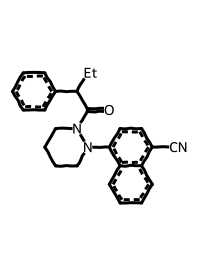 CCC(C(=O)N1CCCCN1c1ccc(C#N)c2ccccc12)c1ccccc1